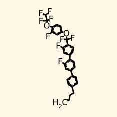 C=CCCc1ccc(-c2ccc(-c3ccc(C(F)(F)Oc4ccc(OC(F)(F)C(F)F)c(F)c4)c(F)c3)c(F)c2)cc1